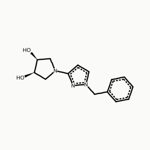 O[C@@H]1CN(c2ccn(Cc3ccccc3)n2)C[C@@H]1O